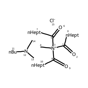 CCCCCCCC(=O)[N+](C)(C(=O)CCCCCCC)C(=O)CCCCCCC.CCCCN(C)C.[Cl-]